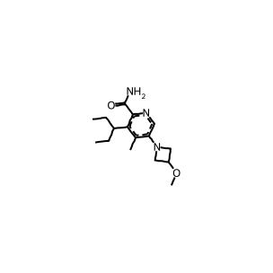 CCC(CC)c1c(C(N)=O)ncc(N2CC(OC)C2)c1C